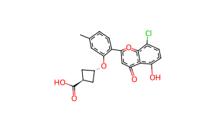 Cc1ccc(-c2cc(=O)c3c(O)ccc(Cl)c3o2)c(O[C@H]2C[C@H](C(=O)O)C2)c1